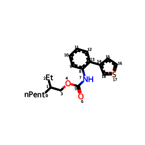 CCCCCC(CC)COC(=O)Nc1ccccc1-c1ccsc1